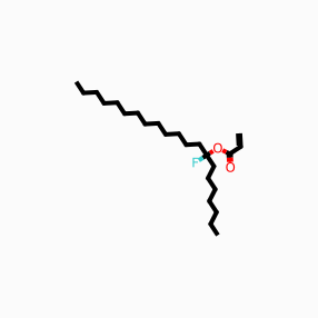 C=CC(=O)OC(F)(CCCCCCC)CCCCCCCCCCCCC